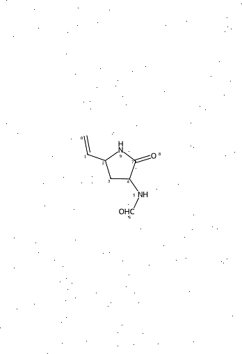 C=CC1CC(NC=O)C(=O)N1